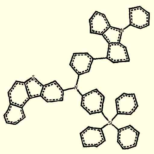 c1ccc(-n2c3ccccc3c3c(-c4cccc(N(c5ccc([Si](c6ccccc6)(c6ccccc6)c6ccccc6)cc5)c5ccc6c(c5)sc5ccc7ccccc7c56)c4)cccc32)cc1